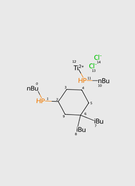 CCCCPC1CCCC(C(C)CC)(C(C)CC)C1.CCCC[PH][Ti+2].[Cl-].[Cl-]